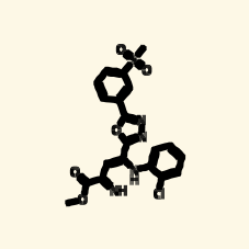 COC(=O)C(=N)/C=C(\Nc1ccccc1Cl)c1nnc(-c2cccc(S(C)(=O)=O)c2)o1